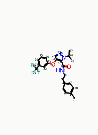 Cc1ccc(CCNC(=O)c2c(Oc3cccc(C(F)(F)F)c3)cnn2C(C)C)cc1